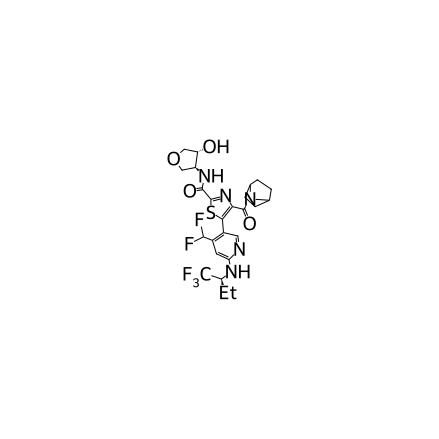 CC[C@H](Nc1cc(C(F)F)c(-c2sc(C(=O)N[C@H]3COC[C@@H]3O)nc2C(=O)N2C3CCC2CC3)cn1)C(F)(F)F